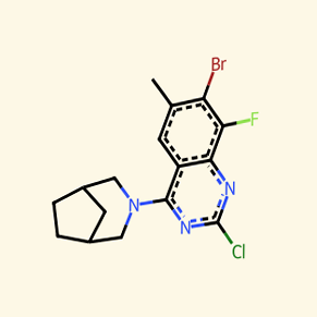 Cc1cc2c(N3CC4CCC(C4)C3)nc(Cl)nc2c(F)c1Br